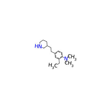 CCc1cc(CCC2CCCNC2)ccc1N(C)C